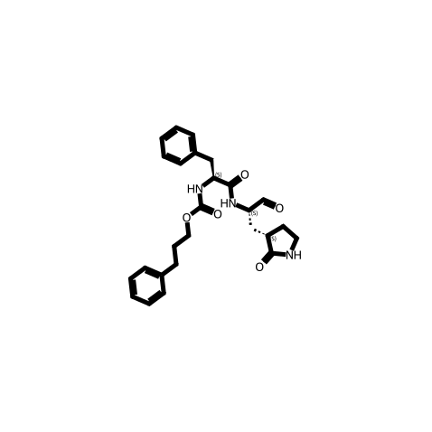 O=C[C@H](C[C@@H]1CCNC1=O)NC(=O)[C@H](Cc1ccccc1)NC(=O)OCCCc1ccccc1